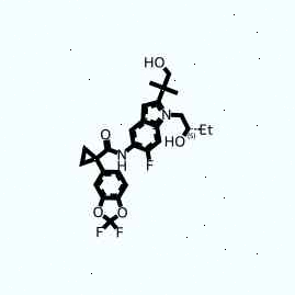 CC[C@H](O)Cn1c(C(C)(C)CO)cc2cc(NC(=O)C3(c4ccc5c(c4)OC(F)(F)O5)CC3)c(F)cc21